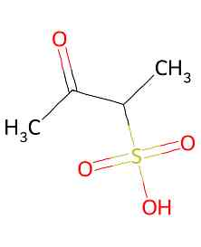 CC(=O)C(C)S(=O)(=O)O